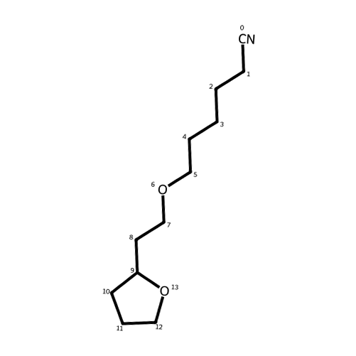 N#CCCCCCOCCC1CCCO1